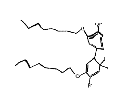 CCCCCCCCOC1=CC(c2ccc(Br)c(OCCCCCCCC)c2)C(I)(I)C=C1Br